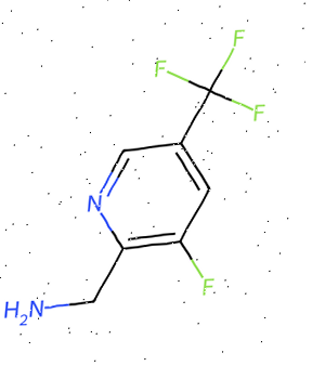 NCc1ncc(C(F)(F)F)cc1F